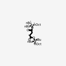 CCCCCCCC[Si](CCCC)(CCCC)OC(=O)CCC(=O)O[Si](CCCC)(CCCC)CCCCCCCC